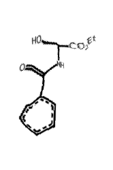 CCOC(=O)C(O)NC(=O)c1ccccc1